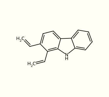 C=Cc1ccc2c([nH]c3ccccc32)c1C=C